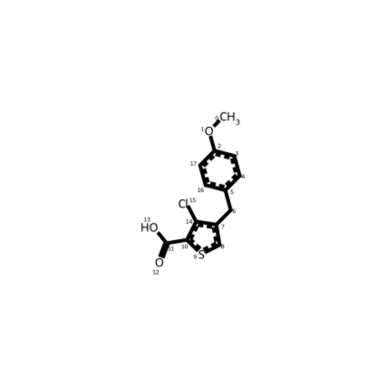 COc1ccc(Cc2csc(C(=O)O)c2Cl)cc1